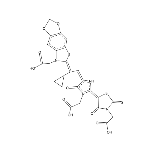 O=C(O)CN1C(=O)/C(=c2/[nH]/c(=C/C(=C3\Sc4cc5c(cc4N3CC(=O)O)OCO5)C3CC3)c(=O)n2CC(=O)O)SC1=S